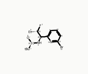 CC[C@H](F)[C@H](N[S@+]([O-])C(C)(C)C)c1cccc(Br)n1